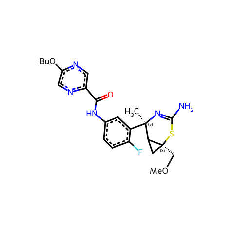 COC[C@]12CC1[C@@](C)(c1cc(NC(=O)c3cnc(OCC(C)C)cn3)ccc1F)N=C(N)S2